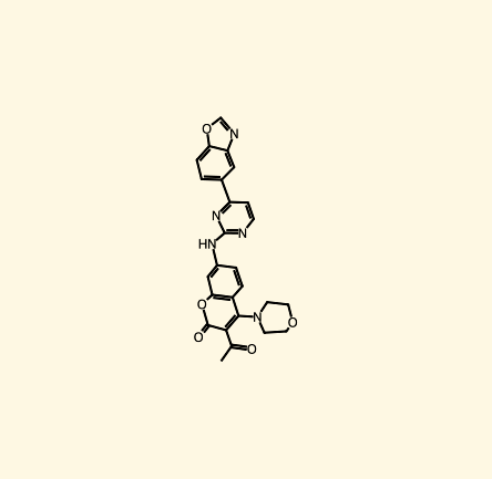 CC(=O)c1c(N2CCOCC2)c2ccc(Nc3nccc(-c4ccc5ocnc5c4)n3)cc2oc1=O